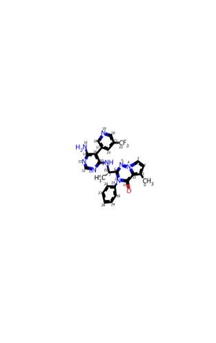 Cc1ccn2nc([C@H](C)Nc3ncnc(N)c3-c3cncc(C(F)(F)F)c3)n(-c3ccccc3)c(=O)c12